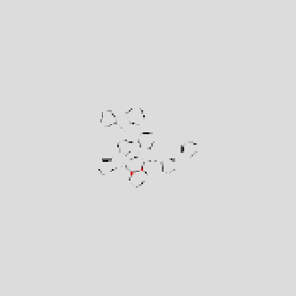 c1ccc(-c2cccc(-n3c4ccccc4c4cc(-c5cccc6c7ccccc7n(-c7ccc8c(c7)c7ccccc7n8-c7ccccc7)c56)ccc43)c2)cc1